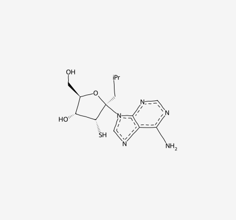 CC(C)C[C@@]1(n2cnc3c(N)ncnc32)O[C@H](CO)[C@@H](O)[C@H]1S